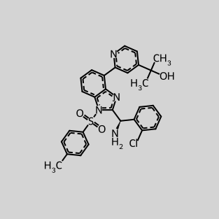 Cc1ccc(S(=O)(=O)n2c([C@H](N)c3ccccc3Cl)nc3c(-c4cc(C(C)(C)O)ccn4)cccc32)cc1